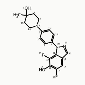 CC1(O)CCN(c2ccc(-n3ncc4cc(F)c(O)c(F)c43)cc2)CC1